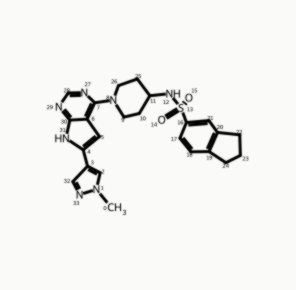 Cn1cc(-c2cc3c(N4CCC(NS(=O)(=O)c5ccc6c(c5)CCC6)CC4)ncnc3[nH]2)cn1